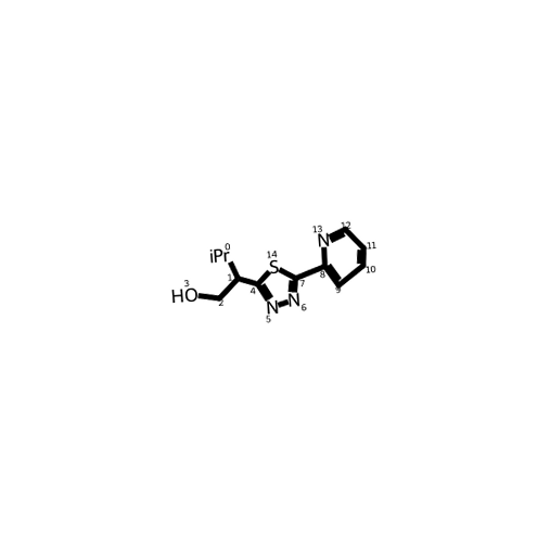 CC(C)C(CO)c1nnc(-c2ccccn2)s1